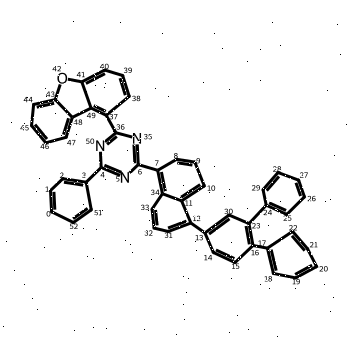 c1ccc(-c2nc(-c3cccc4c(-c5ccc(-c6ccccc6)c(-c6ccccc6)c5)cccc34)nc(-c3cccc4oc5ccccc5c34)n2)cc1